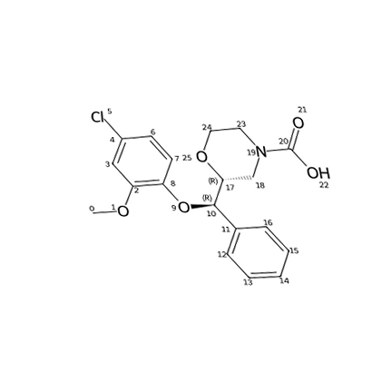 COc1cc(Cl)ccc1O[C@H](c1ccccc1)[C@H]1CN(C(=O)O)CCO1